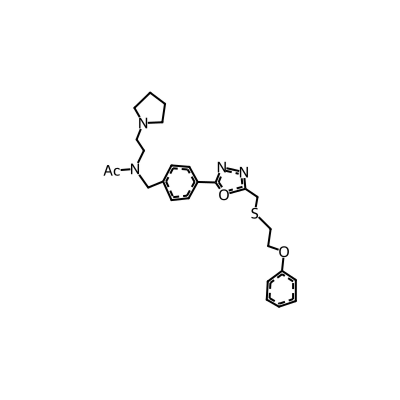 CC(=O)N(CCN1CCCC1)Cc1ccc(-c2nnc(CSCCOc3ccccc3)o2)cc1